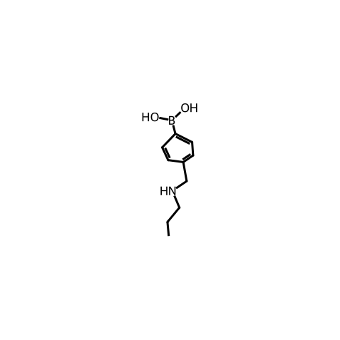 CCCNCc1ccc(B(O)O)cc1